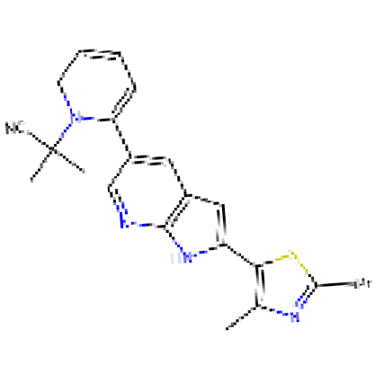 Cc1nc(C(C)C)sc1-c1cc2cc(C3=CC=CCN3C(C)(C)C#N)cnc2[nH]1